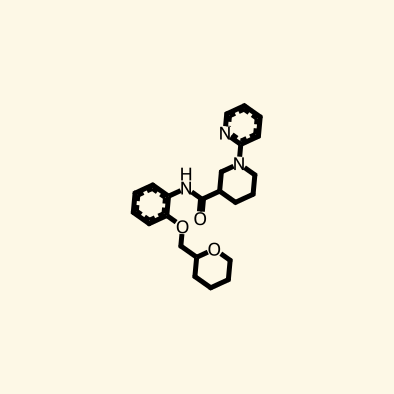 O=C(Nc1ccccc1OCC1CCCCO1)C1CCCN(c2ccccn2)C1